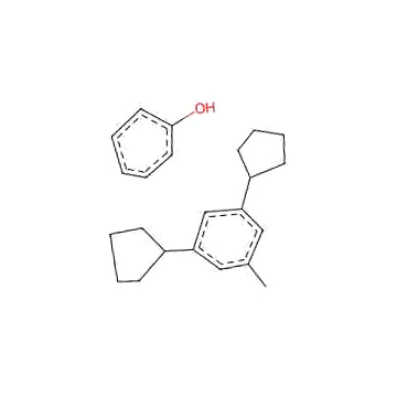 Cc1cc(C2CCCC2)cc(C2CCCC2)c1.Oc1ccccc1